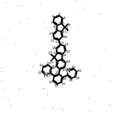 CC1(C)c2ccccc2-c2ccc(-c3ccc4c(c3)C(C)(C)c3cc(-c5c(-c6ccccn6)cccc5-c5ccccn5)ccc3-4)cc21